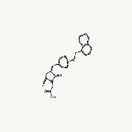 O=C(O)CN1C(=O)/C(=C\c2ccc(OCc3cccc4ccccc34)cc2)SC1=S